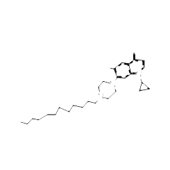 CCCCCCCCCCCCN1CCN(c2cc3c(cc2F)c(=O)ccn3C2CC2)CC1